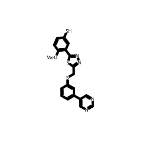 COc1ccc(S)cc1-c1nnc(CSc2cccc(-c3cncnc3)c2)s1